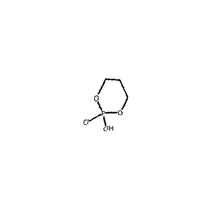 O[P]1(Cl)OCCCO1